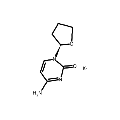 Nc1ccn([C@H]2CCCO2)c(=O)n1.[K]